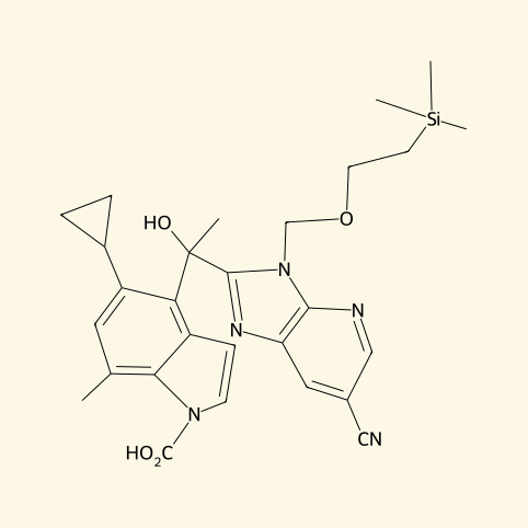 Cc1cc(C2CC2)c(C(C)(O)c2nc3cc(C#N)cnc3n2COCC[Si](C)(C)C)c2ccn(C(=O)O)c12